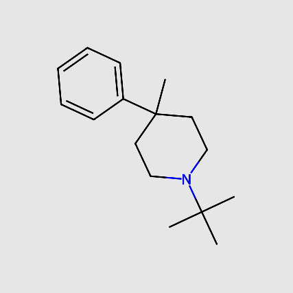 CC1(c2ccccc2)CCN(C(C)(C)C)CC1